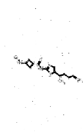 C=CCC[C@H](C)c1cnc(NC(=O)[C@H]2C[C@H](NC#N)C2)s1